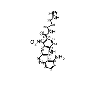 Cc1cnc2cccc(N)c2c1Nc1ccc(C(=O)NCCCNC(C)C)c([N+](=O)[O-])c1